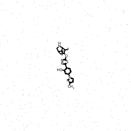 Cc1ccn(-c2ccc(-c3nnc(OC4CC5CNC(C4F)C5(F)F)s3)c(O)c2)n1